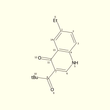 CCc1ccc2[nH]cc(C(=O)C(C)(C)C)c(=O)c2c1